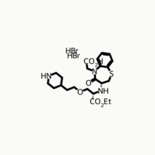 Br.Br.CCOC(=O)[C@H](COCCC1CCNCC1)N[C@H]1CSc2ccccc2N(CC(=O)O)C1=O